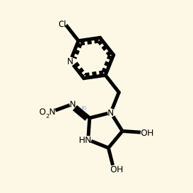 O=[N+]([O-])/N=C1\NC(O)C(O)N1Cc1ccc(Cl)nc1